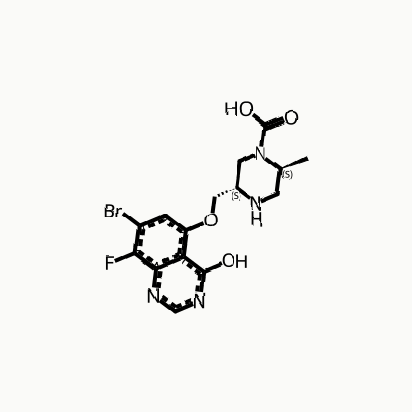 C[C@H]1CN[C@H](COc2cc(Br)c(F)c3ncnc(O)c23)CN1C(=O)O